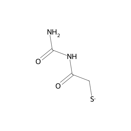 NC(=O)NC(=O)C[S]